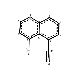 [2H]c1cccc2cccc(C#C)c12